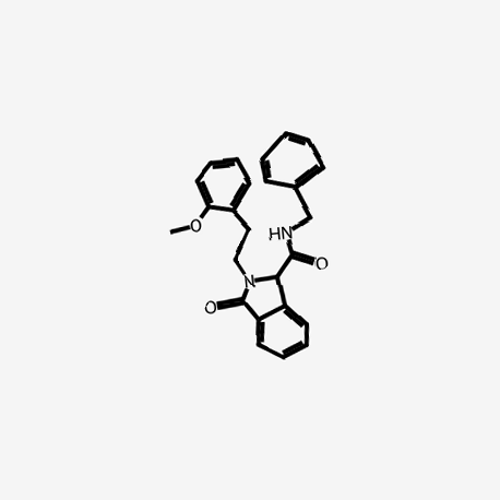 COc1ccccc1CCN1C(=O)c2ccccc2C1C(=O)NCc1ccccc1